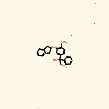 COc1ccc(C(O)(CN)c2ccccc2)cc1OC1Cc2ccccc2C1